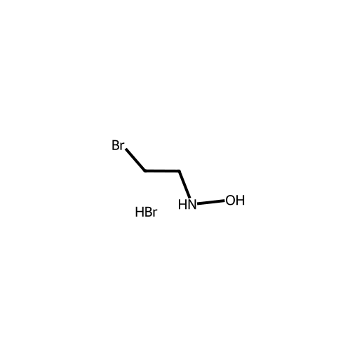 Br.ONCCBr